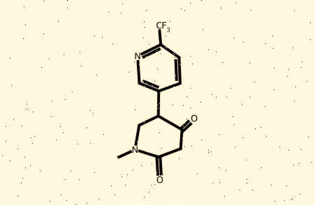 CN1CC(c2ccc(C(F)(F)F)nc2)C(=O)CC1=O